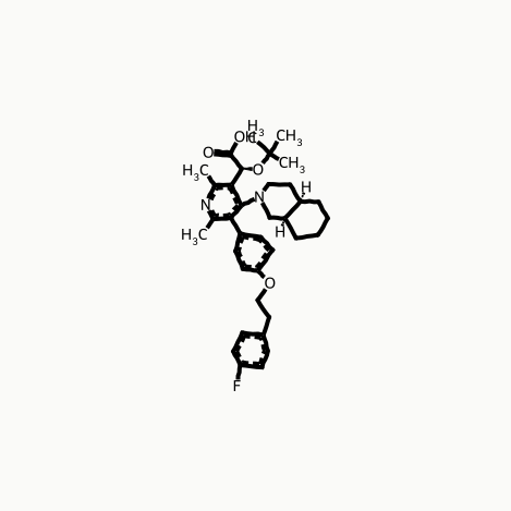 Cc1nc(C)c([C@H](OC(C)(C)C)C(=O)O)c(N2CC[C@H]3CCCC[C@H]3C2)c1-c1ccc(OCCc2ccc(F)cc2)cc1